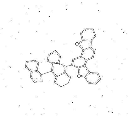 C1=c2c(-c3cccc4ccccc34)c3ccccc3c(-c3cc4c(ccc5c6ccccc6oc54)c4c3oc3ccccc34)c2=CCC1